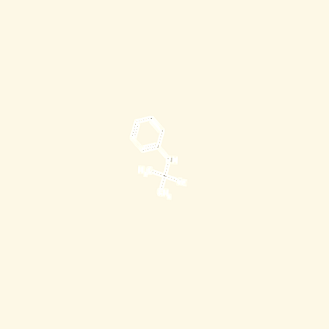 CC(=O)C(C)(C)Nc1ccccc1